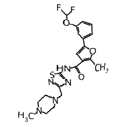 Cc1oc(-c2cccc(OC(F)F)c2)cc1C(=O)Nc1nc(CN2CCN(C)CC2)ns1